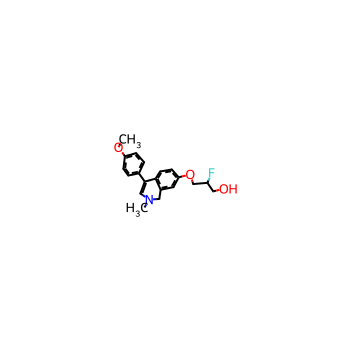 COc1ccc(C2=CN(C)Cc3cc(OCC(F)CO)ccc32)cc1